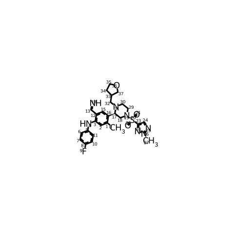 Cc1cc(Nc2ccc(F)cc2)c(C=N)cc1[C@@H]1CN(S(=O)(=O)c2cnn(C)n2)CCN1CC1CCOC1